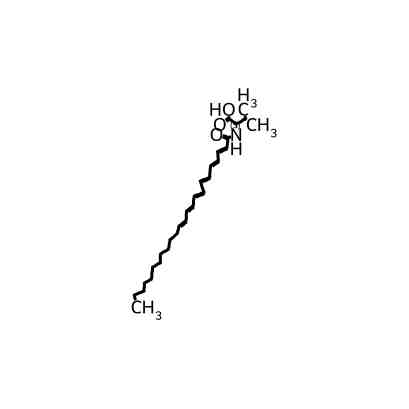 CCCCCCCCCCCC=CC=CC=CC=CC=CC=CC(=O)N[C@H](C(=O)O)C(C)C